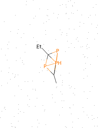 CCC12P3C4(C)P1[PH]342